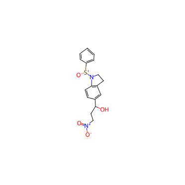 O=[N+]([O-])CCC(O)c1ccc2c(c1)CCN2[S+]([O-])c1ccccc1